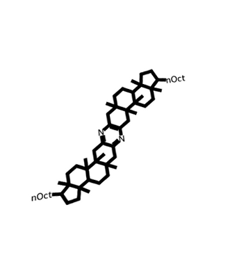 CCCCCCCCC1CCC2(C)C3CCC4(C)Cc5nc6c(nc5CC4(C)C3(C)CCC12C)CC1(C)CCC2C3(C)CCC(CCCCCCCC)C3(C)CCC2(C)C1(C)C6